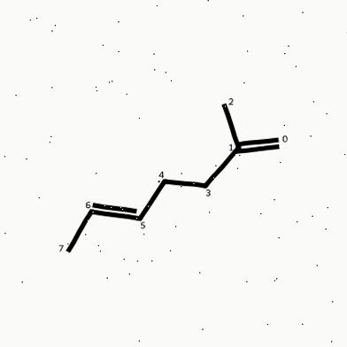 C=C(C)C[CH]C=CC